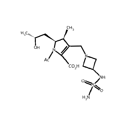 CC(=O)N1C(C(=O)O)=C(CN2CC(NS(N)(=O)=O)C2)[C@H](C)[C@@H]1C[C@@H](C)O